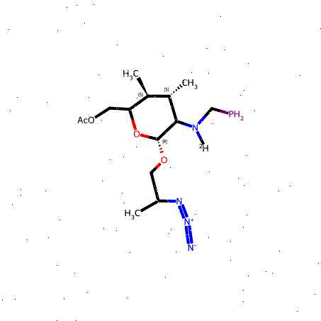 [2H]N(CP)C1[C@H](OCC(C)N=[N+]=[N-])OC(COC(C)=O)[C@@H](C)[C@@H]1C